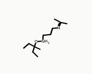 CCC(C)(CC)O[SiH2]CCCN=C(C)C